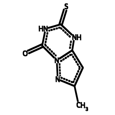 Cc1cc2[nH]c(=S)[nH]c(=O)n2n1